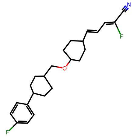 N#CC(F)=CC=CC1CCC(OCC2CCC(c3ccc(F)cc3)CC2)CC1